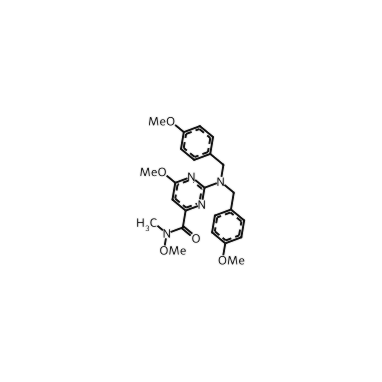 COc1ccc(CN(Cc2ccc(OC)cc2)c2nc(OC)cc(C(=O)N(C)OC)n2)cc1